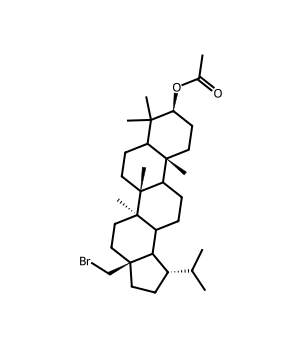 CC(=O)O[C@H]1CC[C@@]2(C)C(CC[C@]3(C)C2CCC2C4[C@H](C(C)C)CC[C@]4(CBr)CC[C@]23C)C1(C)C